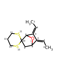 CC=C1C(=CC)C2OC1CC21SCCCS1